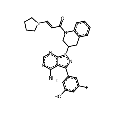 Nc1ncnc2c1c(-c1cc(O)cc(F)c1)nn2C1Cc2ccccc2N(C(=O)C=CN2CCCC2)C1